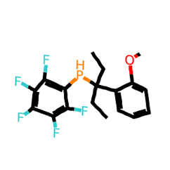 CCC(CC)(Pc1c(F)c(F)c(F)c(F)c1F)c1ccccc1OC